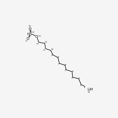 CCCCCCCCCCCCCCO[SH](=O)=O.[LiH]